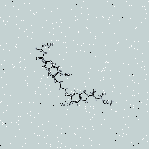 COc1cc2c(cc1OCCCOc1nc3cc(C(=O)C[C@H](C)C(=O)O)sc3cc1OC)CN(C(=O)C[C@H](C)C(=O)O)C2